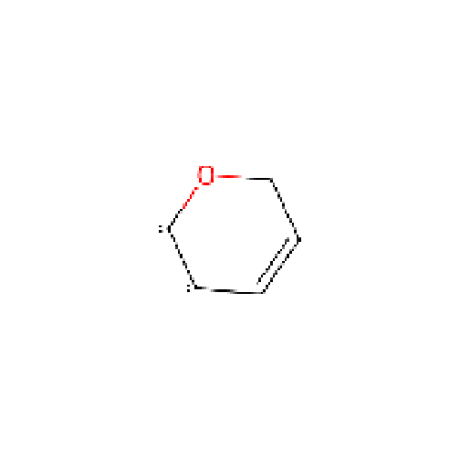 [C]1[C]OCC=C1